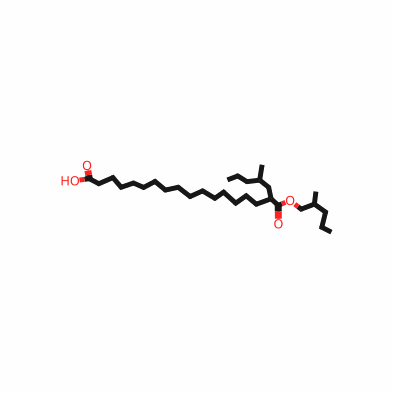 CCCC(C)COC(=O)C(CCCCCCCCCCCCCCCC(=O)O)CC(C)CCC